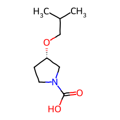 CC(C)CO[C@H]1CCN(C(=O)O)C1